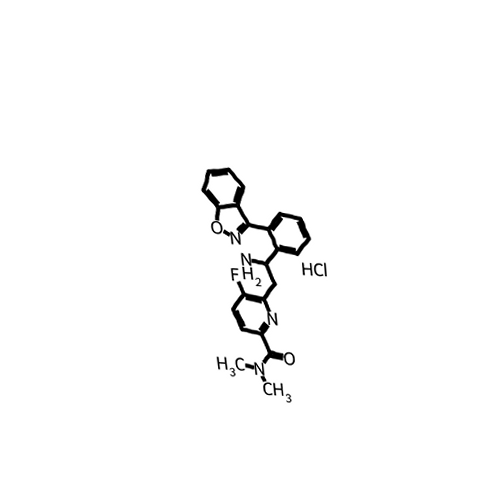 CN(C)C(=O)c1ccc(F)c(CC(N)c2ccccc2-c2noc3ccccc23)n1.Cl